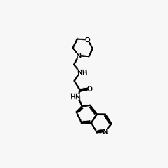 O=C(CNCN1CCOCC1)Nc1ccc2cnccc2c1